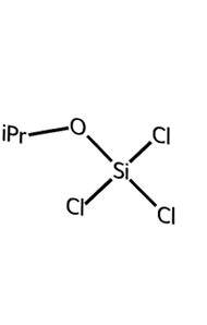 CC(C)O[Si](Cl)(Cl)Cl